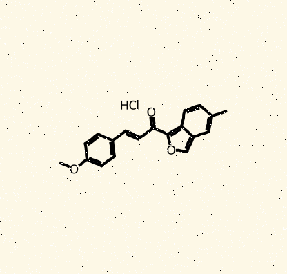 COc1ccc(C=CC(=O)c2occ3cc(C)ccc23)cc1.Cl